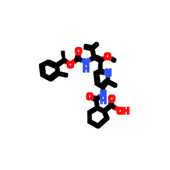 C=C(C)/C(NC(=O)O[C@H](C)c1ccccc1C)=C(\OC)c1ccc(NC(=O)C2CCCCC2C(=O)O)c(C)n1